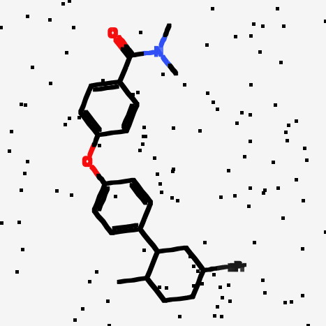 CCCC1CCC(C)C(c2ccc(Oc3ccc(C(=O)N(C)C)cc3)cc2)C1